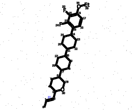 C/C=C/C1CCC(C2CCC(C3CCC(c4ccc(OCC)c(F)c4F)CC3)CC2)CO1